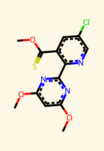 COC(=S)c1cc(Cl)cnc1-c1nc(OC)cc(OC)n1